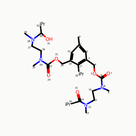 Cc1cc(COC(=O)N(C)CCN(C)C(=O)C(C)C)c(C(C)C)c(COC(=O)N(C)CCN(C)C(O)C(C)C)c1